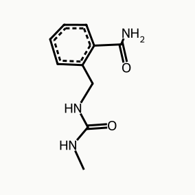 CNC(=O)NCc1ccccc1C(N)=O